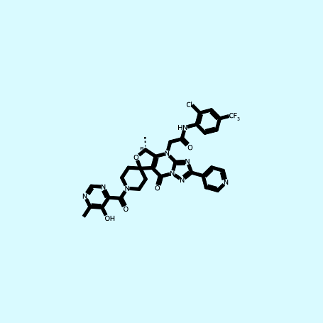 Cc1ncnc(C(=O)N2CCC3(CC2)O[C@H](C)c2c3c(=O)n3nc(-c4ccncc4)nc3n2CC(=O)Nc2ccc(C(F)(F)F)cc2Cl)c1O